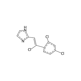 ClC(=Cc1ncc[nH]1)c1ccc(Cl)cc1Cl